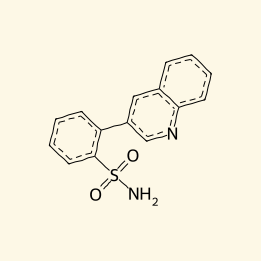 NS(=O)(=O)c1ccccc1-c1cnc2ccccc2c1